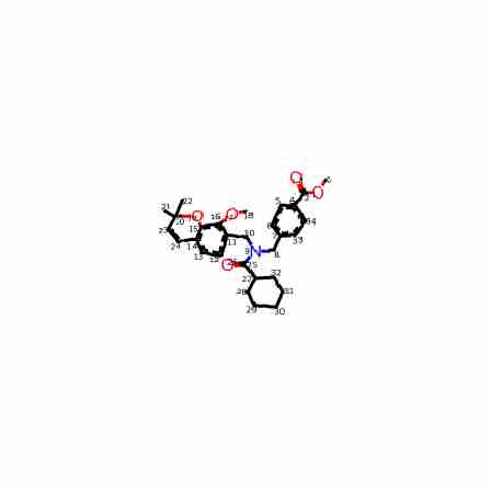 COC(=O)c1ccc(CN(Cc2ccc3c(c2OC)OC(C)(C)C=C3)C(=O)C2CCCCC2)cc1